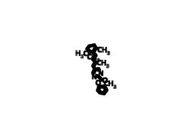 CC1=C(C=C/C(C)=C/c2cnc(C(=O)Oc3ccccc3C)nc2)C(C)(C)CCC1